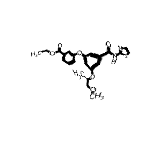 CCOC(=O)c1cccc(Oc2cc(O[C@@H](C)COC)cc(C(=O)Nc3nccs3)c2)c1